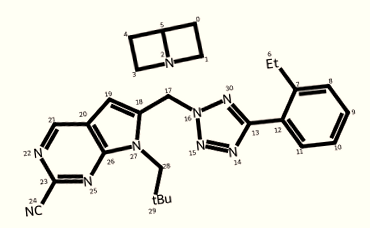 C1CN2CCC12.CCc1ccccc1-c1nnn(Cc2cc3cnc(C#N)nc3n2CC(C)(C)C)n1